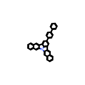 c1ccc(-c2ccc(-c3cc4c5cc6ccccc6cc5n5c6cc7ccccc7cc6c(c3)c45)cc2)cc1